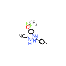 Cc1ccc(-c2nc(NCCC#N)n(-c3ccc(OC(F)(F)C(F)(F)F)cc3)n2)cc1